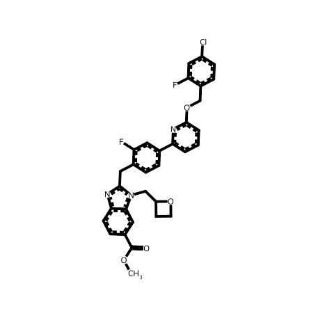 COC(=O)c1ccc2nc(Cc3ccc(-c4cccc(OCc5ccc(Cl)cc5F)n4)cc3F)n(CC3CCO3)c2c1